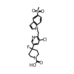 CS(=O)(=O)c1ccc2c(ccn2Cc2ncc(C3(F)CCN(C(=O)O)CC3)cc2Cl)c1